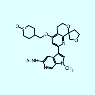 CC(=O)Nc1cc2c(-c3cc(OCC4CC[S+]([O-])CC4)c4c(n3)C3(CCOC3)OCC4)cn(C)c2cn1